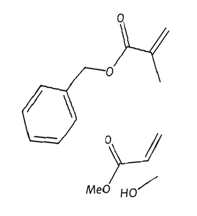 C=C(C)C(=O)OCc1ccccc1.C=CC(=O)OC.CO